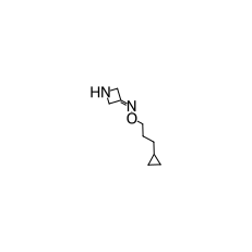 C(CON=C1CNC1)CC1CC1